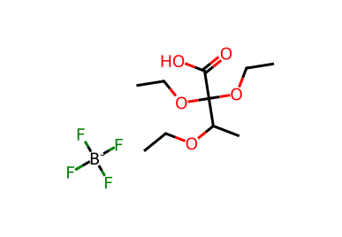 CCOC(C)C(OCC)(OCC)C(=O)O.F[B-](F)(F)F